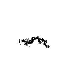 C#CCOCC(=O)N1CC(OCCN(CC(N)=O)C(=O)COc2cccc(Oc3ccc(C(=O)N[C@@H](CCC(C)(C)C)C(=O)OC)cn3)c2)C1